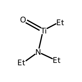 CC[N](CC)[Ti](=[O])[CH2]C